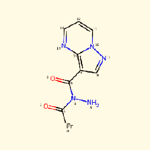 CC(C)C(=O)N(N)C(=O)c1cnn2cccnc12